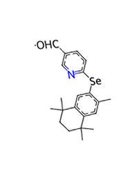 Cc1cc2c(cc1[Se]c1ccc([C]=O)cn1)C(C)(C)CCC2(C)C